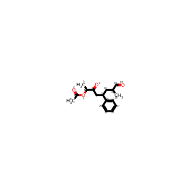 CC(=O)OC(C)C(=O)CC(CC(C)C=O)c1ccccc1